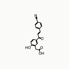 N#Cc1ccc(C=CC(=O)c2ccc(O)c(CC(=O)O)c2)cc1